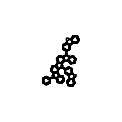 c1ccc(-n2c3ccccc3c3c2ccc2c4ccc5c(c6ccccc6n5-c5ccc6oc7ccccc7c6c5)c4n(-c4ccc5oc6ccccc6c5c4)c23)cc1